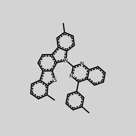 Cc1cccc(-c2nc(-n3c4ccc(C)cc4c4ccc5c6cccc(C)c6sc5c43)nc3ccccc23)c1